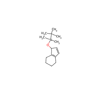 CC(C)(C)[Si](C)(C)OC1C=CC2=C1CCCC2